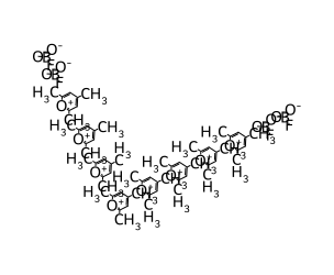 Cc1cc(C)[o+]c(C)c1.Cc1cc(C)[o+]c(C)c1.Cc1cc(C)[o+]c(C)c1.Cc1cc(C)[o+]c(C)c1.Cc1cc(C)[o+]c(C)c1.Cc1cc(C)[o+]c(C)c1.Cc1cc(C)[o+]c(C)c1.Cc1cc(C)[o+]c(C)c1.[O-]B([O-])F.[O-]B([O-])F.[O-]B([O-])F.[O-]B([O-])F